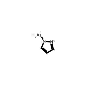 [AsH2]n1cccn1